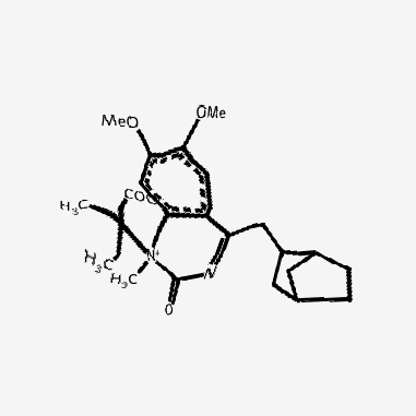 COc1cc2c(cc1OC)[N+](C)(C(C)(C)C(=O)[O-])C(=O)N=C2CC1CC2CCC1C2